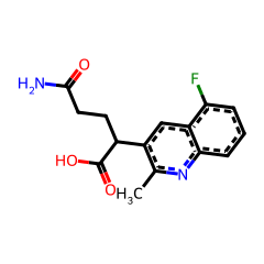 Cc1nc2cccc(F)c2cc1C(CCC(N)=O)C(=O)O